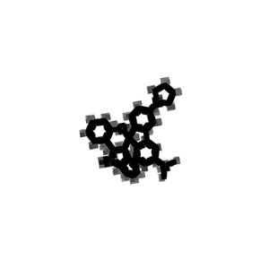 CN(C)c1ccc2c(c1)-c1cc(N3CCCC3)ccc1C21Oc2ccccc2-c2[nH]c3ccccc3c21